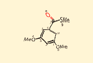 COc1cc(OC)cc(C(=O)SC)c1